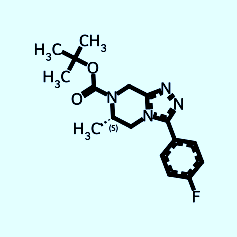 C[C@H]1Cn2c(nnc2-c2ccc(F)cc2)CN1C(=O)OC(C)(C)C